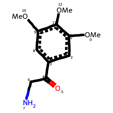 COc1cc(C(=O)CN)cc(OC)c1OC